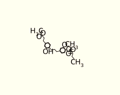 CCCCS(=O)(=O)Oc1ccc(CCCc2ccc(CCC(=O)OC)cc2O)cc1OC